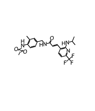 Cc1cc(CNC(=O)C=Cc2ccc(C(F)(F)F)nc2NC(C)C)ccc1NS(C)(=O)=O